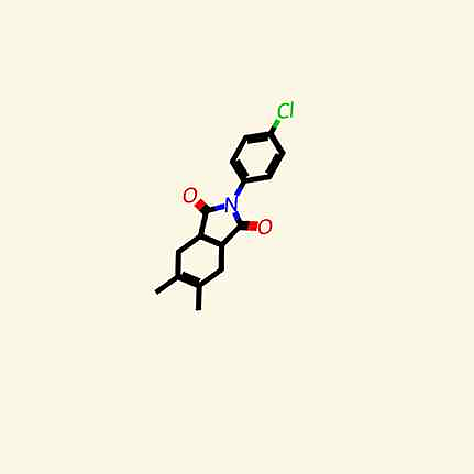 CC1=C(C)CC2C(=O)N(c3ccc(Cl)cc3)C(=O)C2C1